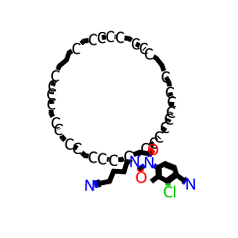 Cc1c(N2C(=O)N(CCCCC#N)C3(CCCCCCCCCCCCCCCCCCCCCCCCCCCCCCCCCCCCCCCCC3)C2=O)ccc(C#N)c1Cl